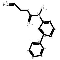 C=CCCC(=C)N(C)c1cccc(-c2ccccc2)c1